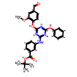 COc1cc(C=O)ccc1Oc1nc(Nc2cccc(C(=O)OC(C)(C)C)c2)nc(Oc2ccccc2)n1